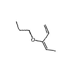 C=C/C(=C\C)OCCC